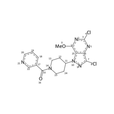 COc1nc(Cl)nc2c(Cl)nn(C3CCN(C(=O)c4cccnc4)CC3)c12